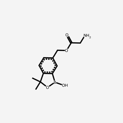 CC1(C)OB(O)c2cc(COC(=O)CN)ccc21